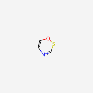 C1=COSC=[N+]1